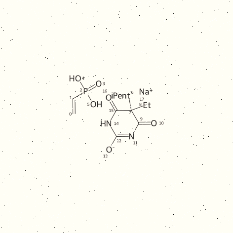 C=CP(=O)(O)O.CCCC(C)C1(CC)C(=O)N=C([O-])NC1=O.[Na+]